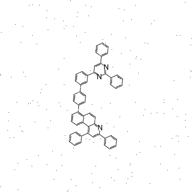 c1ccc(-c2cc(-c3cccc(-c4ccc(-c5cccc6c5ccc5nc(-c7ccccc7)cc(-c7ccccc7)c56)cc4)c3)nc(-c3ccccc3)n2)cc1